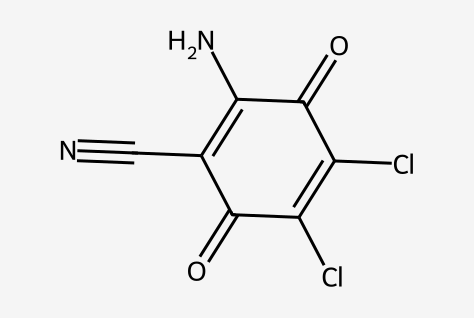 N#CC1=C(N)C(=O)C(Cl)=C(Cl)C1=O